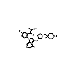 Cc1cncc2c1c(C[C@@H]1CCN(CC3(F)CCNCC3)C1)cn2-c1ccc(F)cc1C(=O)N(C)C(C)C